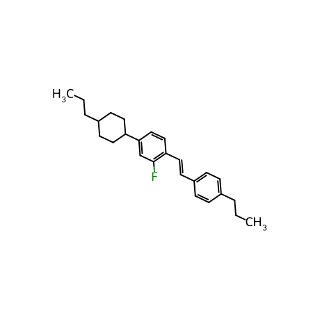 CCCc1ccc(C=Cc2ccc(C3CCC(CCC)CC3)cc2F)cc1